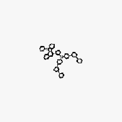 c1ccc(-c2cccc(-c3ccc(N(c4ccc(-c5cccc(-c6ccccc6)c5)cc4)c4cccc(-c5cc6ccccc6c6c5c5ccccc5n6-c5ccccc5)c4)cc3)c2)cc1